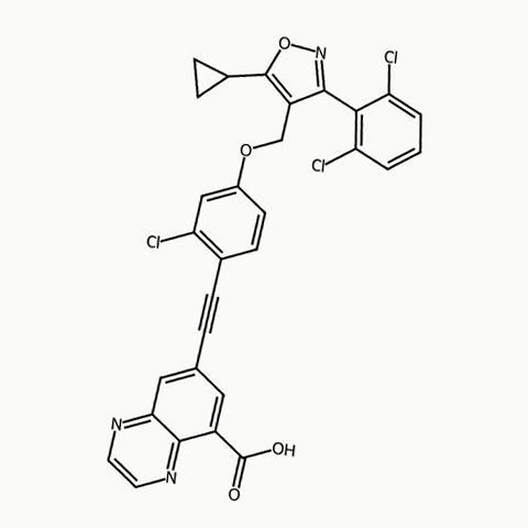 O=C(O)c1cc(C#Cc2ccc(OCc3c(-c4c(Cl)cccc4Cl)noc3C3CC3)cc2Cl)cc2nccnc12